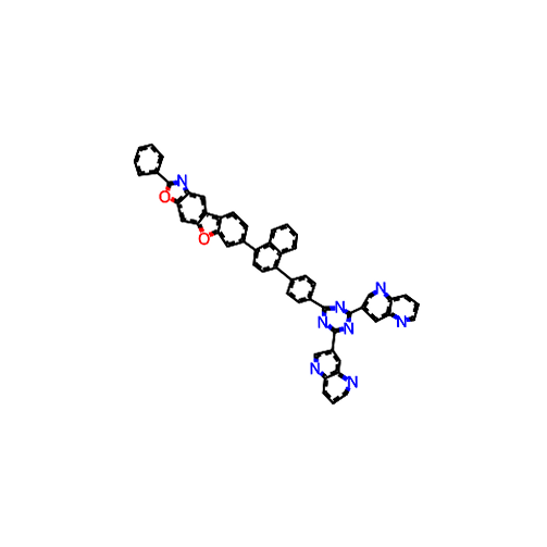 c1ccc(-c2nc3cc4c(cc3o2)oc2cc(-c3ccc(-c5ccc(-c6nc(-c7cnc8cccnc8c7)nc(-c7cnc8cccnc8c7)n6)cc5)c5ccccc35)ccc24)cc1